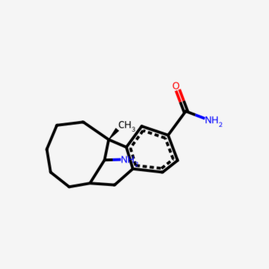 C[C@@]12CCCCCC(Cc3ccc(C(N)=O)cc31)C2N